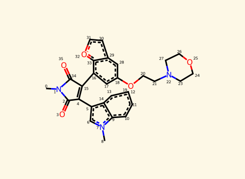 CN1C(=O)C(c2cn(C)c3ccccc23)=C(c2cc(OCCN3CCOCC3)cc3ccoc23)C1=O